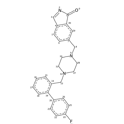 O=C1N=Cc2ccc(CN3CCN(Cc4ccccc4-c4ccc(F)cc4)CC3)cc21